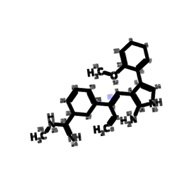 C=C/C(=C\c1c(C2=CCCC=C2OC)c[nH]c1N)C1=CC=CC(C(=N)NC)C1